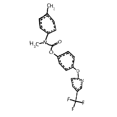 Cc1ccc(N(C)C(=O)Oc2ccc(Oc3ccc(C(F)(F)F)cn3)cc2)cc1